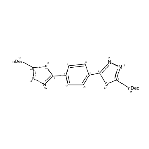 CCCCCCCCCCc1nnc(-c2ccc(-c3nnc(CCCCCCCCCC)s3)cc2)s1